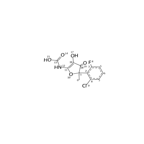 CC1(c2c(F)cccc2Cl)OC(NC(=O)O)=C(O)C1=O